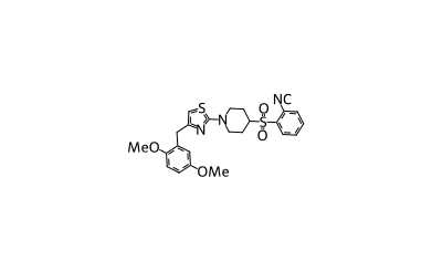 COc1ccc(OC)c(Cc2csc(N3CCC(S(=O)(=O)c4ccccc4C#N)CC3)n2)c1